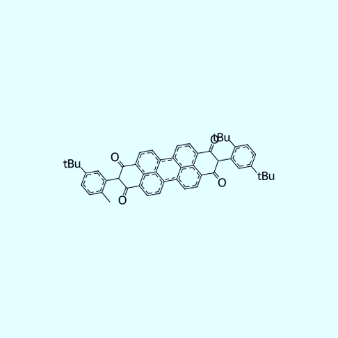 Cc1ccc(C(C)(C)C)cc1C1C(=O)c2ccc3c4ccc5c6c(ccc(c7ccc(c2c37)C1=O)c64)C(=O)C(c1cc(C(C)(C)C)ccc1C(C)(C)C)C5=O